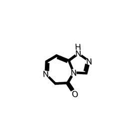 O=C1CN=CC=C2NN=CN12